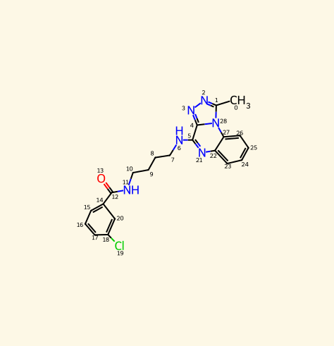 Cc1nnc2c(NCCCCNC(=O)c3cccc(Cl)c3)nc3ccccc3n12